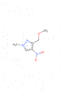 COCc1nn(C)cc1[N+](=O)[O-]